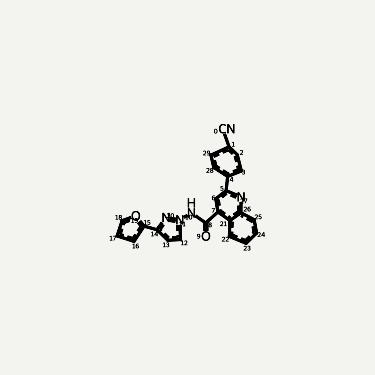 N#Cc1ccc(-c2cc(C(=O)Nn3ccc(-c4ccco4)n3)c3ccccc3n2)cc1